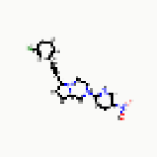 O=[N+]([O-])c1ccc(N2CCN3C(C#Cc4cccc(Cl)c4)CCC3C2)nc1